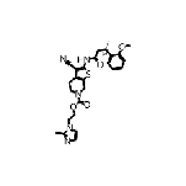 COc1ccccc1[C@@H](C)CC(=O)Nc1sc2c(c1C#N)CCN(C(=O)OCCn1ccnc1C)C2